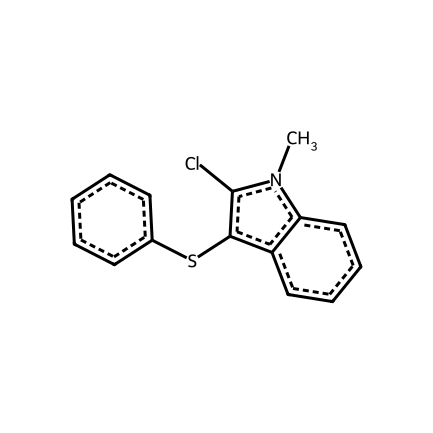 Cn1c(Cl)c(Sc2ccccc2)c2ccccc21